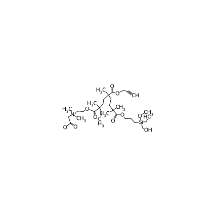 C#CCOC(=O)C(C)(CCC(C)(C)C(=O)OCCC[Si](CO)(CO)OC)CCC(C)(CC)C(=O)OCC[N+](C)(C)CC(=O)[O-]